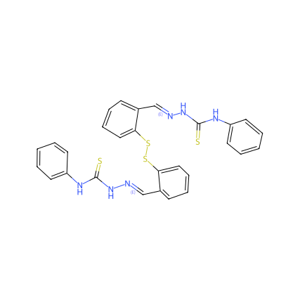 S=C(N/N=C/c1ccccc1SSc1ccccc1/C=N/NC(=S)Nc1ccccc1)Nc1ccccc1